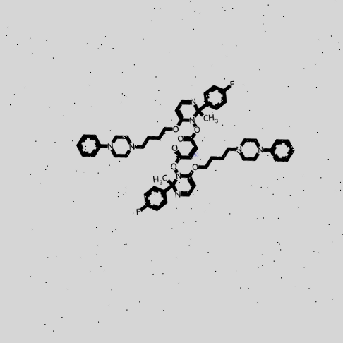 CC1(c2ccc(F)cc2)N=CC=C(OCCCCN2CCN(c3ccccc3)CC2)N1OC(=O)/C=C\C(=O)ON1C(OCCCCN2CCN(c3ccccc3)CC2)=CC=NC1(C)c1ccc(F)cc1